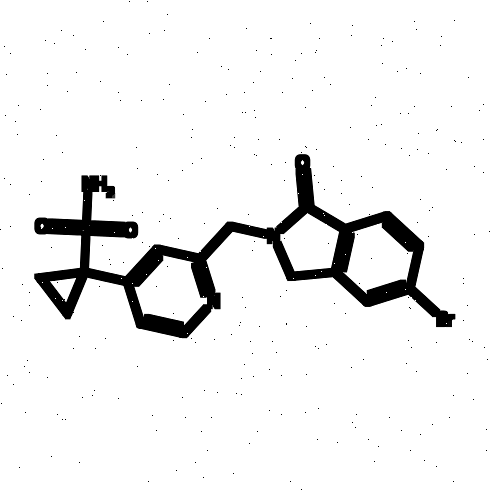 NS(=O)(=O)C1(c2ccnc(CN3Cc4cc(Br)ccc4C3=O)c2)CC1